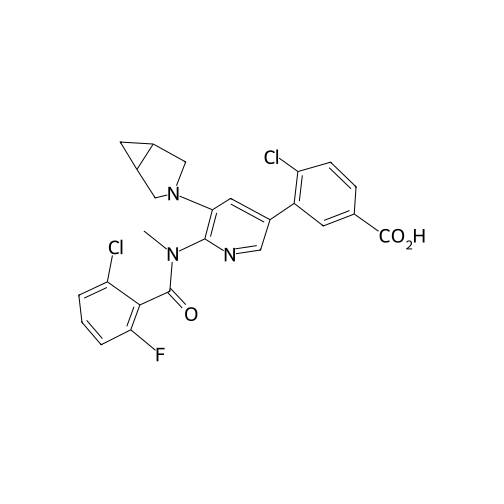 CN(C(=O)c1c(F)cccc1Cl)c1ncc(-c2cc(C(=O)O)ccc2Cl)cc1N1CC2CC2C1